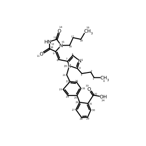 CCCCc1ncc(C=C2C(=O)NC(=O)N2CCCC)n1Cc1ccc(-c2ccccc2C(=O)O)cc1